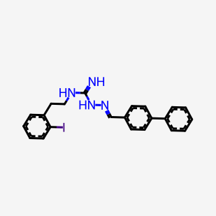 N=C(NCCc1ccccc1I)N/N=C/c1ccc(-c2ccccc2)cc1